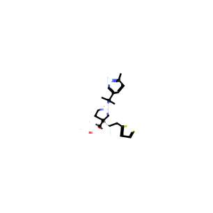 CCOC(C(F)(F)F)(C(F)(F)F)[C@]1(CCc2cccs2)CCN(C(C)(C)c2ccc(C)nc2)C1